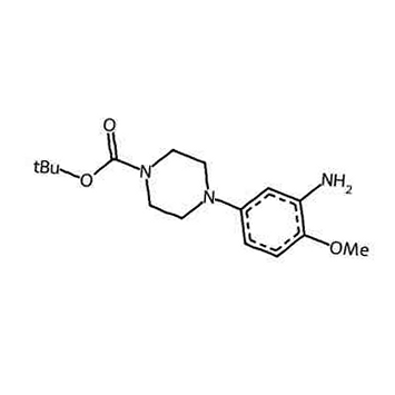 COc1ccc(N2CCN(C(=O)OC(C)(C)C)CC2)cc1N